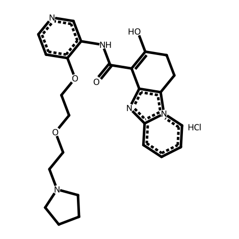 Cl.O=C(Nc1cnccc1OCCOCCN1CCCC1)C1=C(O)CCc2c1nc1ccccn21